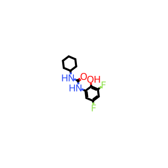 O=C(Nc1cc(F)cc(F)c1O)NC1CCCCC1